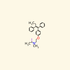 CC/C(=C(\c1ccccc1)c1ccc(OCCN(C)C(C)I)cc1)c1ccccc1